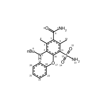 CCCCNc1c(C)c(C(N)=O)c(C)c(S(N)(=O)=O)c1Oc1ccccc1